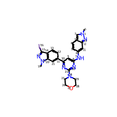 Cn1cc2ccc(Nc3cc(-c4ccc5c(I)nn(C)c5c4)nc(N4CCOCC4)n3)cc2n1